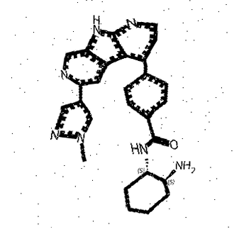 Cn1cc(-c2cc3c(cn2)[nH]c2nccc(-c4ccc(C(=O)N[C@H]5CCCC[C@@H]5N)cc4)c23)cn1